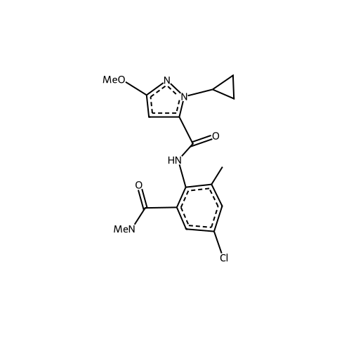 CNC(=O)c1cc(Cl)cc(C)c1NC(=O)c1cc(OC)nn1C1CC1